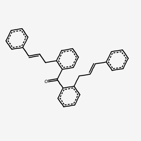 O=C(c1ccccc1CC=Cc1ccccc1)c1ccccc1CC=Cc1ccccc1